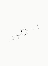 BrC12CCC(c3ccc(OCC4CO4)cc3)(CC1)CC2